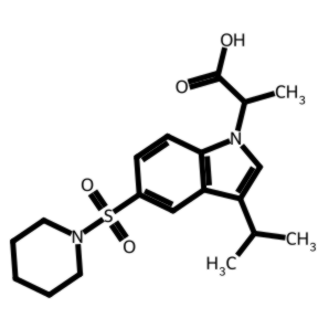 CC(C)c1cn(C(C)C(=O)O)c2ccc(S(=O)(=O)N3CCCCC3)cc12